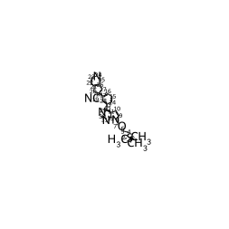 CS(C)(C)CCOCn1ccc2c(-c3cccc(C4(C#N)Cc5ccncc5C4)c3)ncnc21